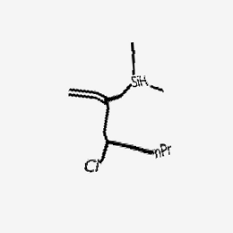 C=C(C(Cl)CCC)[SiH](C)C